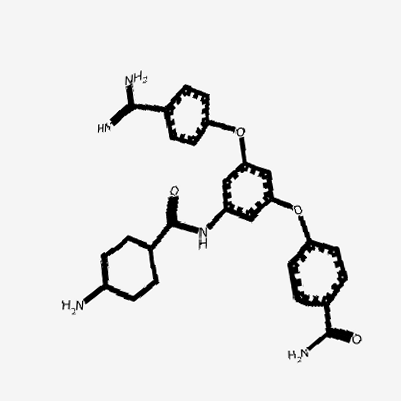 N=C(N)c1ccc(Oc2cc(NC(=O)C3CCC(N)CC3)cc(Oc3ccc(C(N)=O)cc3)c2)cc1